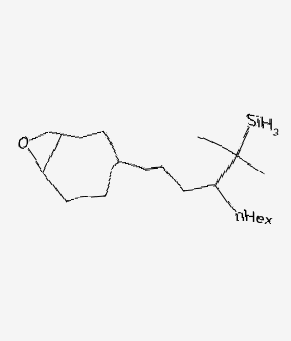 CCCCCCC(CCC1CCC2OC2C1)C(C)(C)[SiH3]